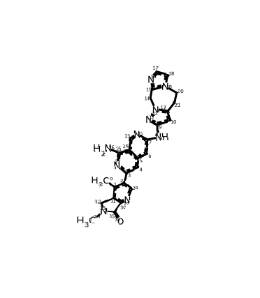 Cc1c(-c2cc3cc(Nc4cc5n(n4)Cc4nccn4CC5)ncc3c(N)n2)cnc2c1CN(C)C2=O